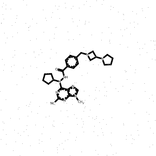 Cn1cnc2c(N(NC(=O)c3ccc(CN4CC(N5CCCC5)C4)cc3)C3CCCC3)nc(C#N)nc21